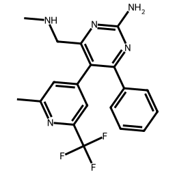 CNCc1nc(N)nc(-c2ccccc2)c1-c1cc(C)nc(C(F)(F)F)c1